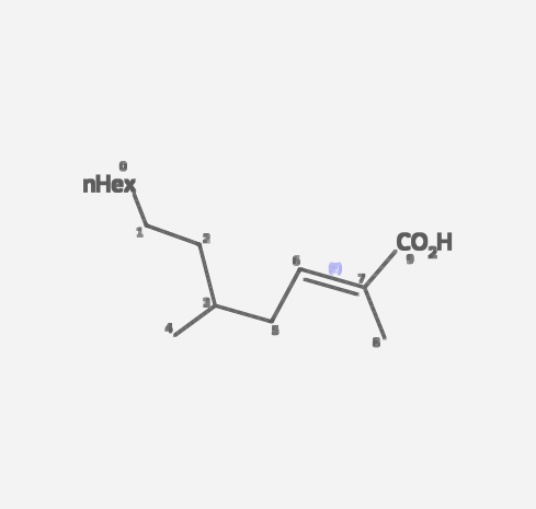 CCCCCCCCC(C)C/C=C(\C)C(=O)O